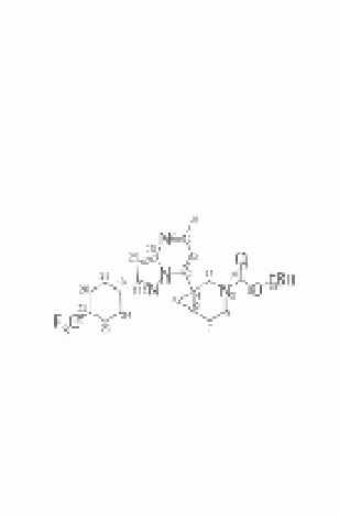 Cc1cc(C23CC2CCN(C(=O)OC(C)(C)C)C3)n2nc([C@H]3CC[C@H](C(F)(F)F)CC3)cc2n1